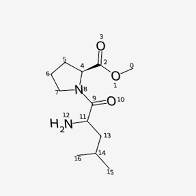 COC(=O)[C@@H]1CCCN1C(=O)C(N)CC(C)C